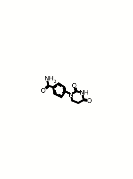 NC(=O)c1ccc(N2CCC(=O)NC2=O)cc1